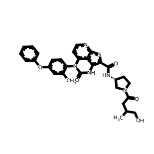 Cc1cc(Oc2ccccc2)ccc1N1C(=O)Nc2c(C(=O)N[C@@H]3CCN(C(=O)CC(C)CO)C3)sc3nccc1c23